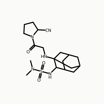 CN(C)S(=O)(=O)NC1C2CC3CC(C2)CC1(NCC(=O)N1CCCC1C#N)C3